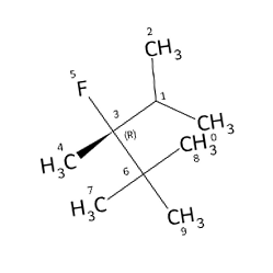 CC(C)[C@@](C)(F)C(C)(C)C